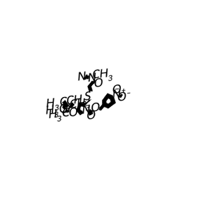 CN(C#N)C(=O)CCSC[C@@H]1C[C@H](O[Si](C)(C)C(C)(C)C)CN1C(=O)OCc1ccc([N+](=O)[O-])cc1